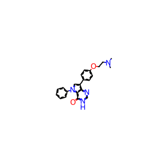 CN(C)CCOc1ccc(-c2cn(-c3ccccc3)c3c(=O)[nH]cnc23)cc1